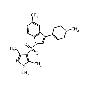 Cc1nn(C)c(C)c1S(=O)(=O)n1cc(C2=CCN(C)CC2)c2cc(C(F)(F)F)ccc21